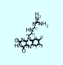 Cc1cc2nc3c(=O)[nH]c(=O)nc-3n(CCNCN=C(N)N)c2cc1C